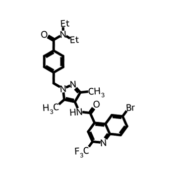 CCN(CC)C(=O)c1ccc(Cn2nc(C)c(NC(=O)c3cc(C(F)(F)F)nc4ccc(Br)cc34)c2C)cc1